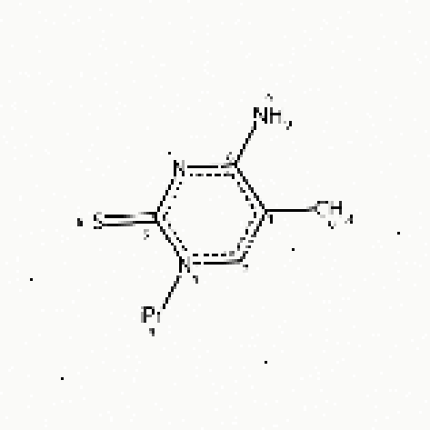 Cc1cn(C(C)C)c(=S)nc1N